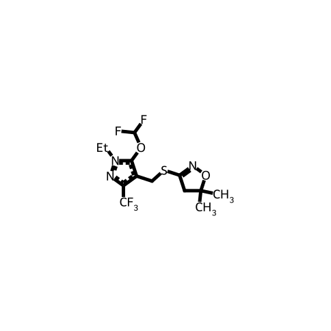 CCn1nc(C(F)(F)F)c(CSC2=NOC(C)(C)C2)c1OC(F)F